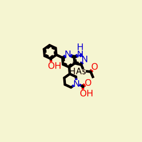 CC(=O)[AsH]c1n[nH]c2nc(-c3ccccc3O)cc(C3CCCN(C(=O)O)C3)c12